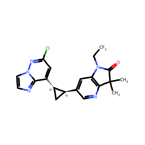 CC1(C)C(=O)N(CC(F)(F)F)c2cc([C@H]3C[C@@H]3c3cc(Cl)nn4ccnc34)cnc21